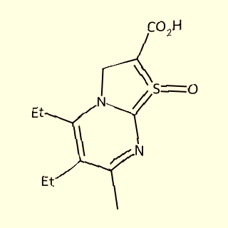 CCC1=C(CC)N2CC(C(=O)O)=S(=O)=C2N=C1C